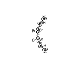 C=C(C)C(=O)OCCNC(=O)OCCOc1c(Br)cc(C(C)(C)c2cc(Br)c(OCCOC(=O)NCCOC(=O)C(=C)C)c(Br)c2)cc1Br